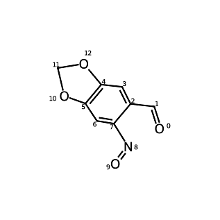 O=Cc1cc2c(cc1N=O)OCO2